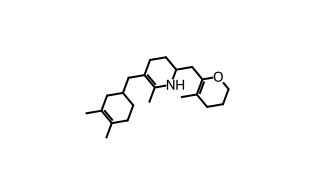 CC1=C(C)CC(CC2=C(C)NC(CC3=C(C)CCCO3)CC2)CC1